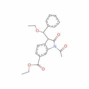 CCOC(=O)c1ccc2c(c1)N(C(C)=O)C(=O)C2C(OCC)c1ccccc1